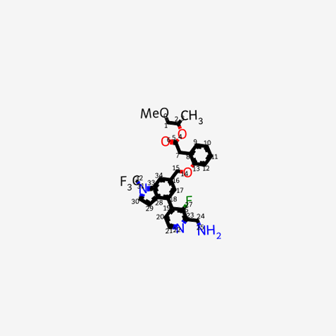 COCC(C)OC(=O)Cc1ccccc1OCc1cc(-c2ccnc(CN)c2F)c2ccn(C(F)(F)F)c2c1